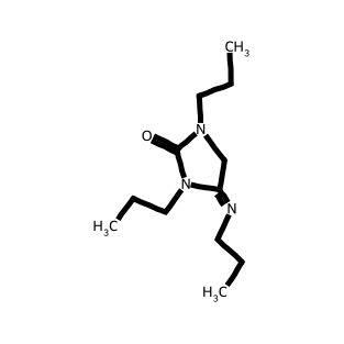 CCCN=C1CN(CCC)C(=O)N1CCC